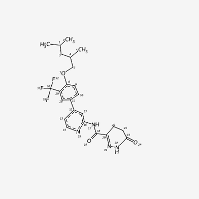 CC(C)CC(C)COc1ccc(-c2ccnc(NC(=O)C3=NNC(=O)CC3)c2)cc1C(F)(F)F